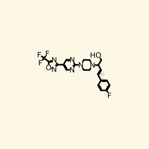 OCC(/C=C/c1ccc(F)cc1)N1CCN(c2ncc(-c3noc(C(F)(F)F)n3)cn2)CC1